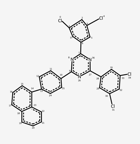 Clc1cc(Cl)cc(-c2nc(-c3ccc(-c4cccc5ccccc45)cc3)nc(-c3cc(Cl)cc(Cl)c3)n2)c1